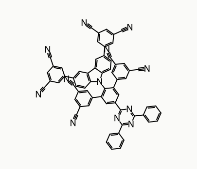 N#Cc1cc(C#N)cc(-c2ccc3c(c2)c2cc(-c4cc(C#N)cc(C#N)c4)ccc2n3-c2c(-c3cc(C#N)cc(C#N)c3)cc(-c3nc(-c4ccccc4)nc(-c4ccccc4)n3)cc2-c2cc(C#N)cc(C#N)c2)c1